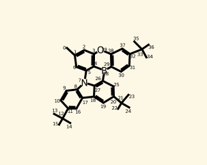 Cc1cc2c3c(c1)-n1c4ccc(C(C)(C)C)cc4c4cc(C(C)(C)C)cc(c41)B3c1ccc(C(C)(C)C)cc1O2